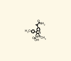 CCCc1nc2ccc(C3CC3C(N)=O)cc2c(-c2ccc(C)cc2)c1CNC(=O)O